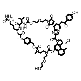 Cc1cccc2c(OC(=O)N(CCOCCO)CCN(C)C(=O)OCc3ccc(NC(=O)C[C@H](CCCNC(N)=O)NC(=O)[C@@H](NC(=O)OCCOCCN4C(=O)C=CC4=O)C(C)C)cc3)cc3c(c12)[C@H](CCl)CN3C(=O)c1cn2cc(CC(=O)c3ccc(O)cc3)ccc2n1